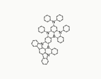 c1ccc(N(c2ccccc2)c2cc3c4c(c2)N(c2ccccc2)c2cc5c(cc2B4c2ccccc2N3c2ccccc2)B2c3ccccc3-n3c4ccccc4c4cc6c7ccccc7n-5c6c2c43)cc1